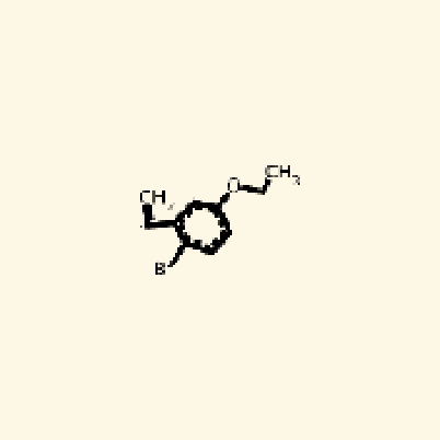 C=[C]c1cc(OCC)ccc1Br